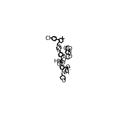 CC1(C)CCC(CN2CCN(c3ccc(C(=O)NS(=O)(=O)c4ccc(NCC5CCOCC5)c([N+](=O)[O-])c4)c(N4CCCOc5nc6c(cc54)OCCO6)c3)CC2)=C(c2ccc(Cl)cc2)C1